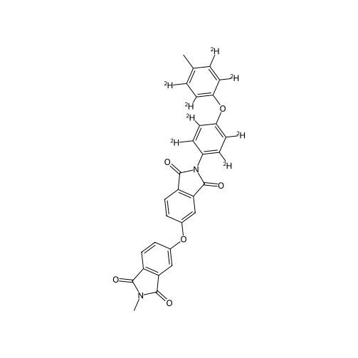 [2H]c1c([2H])c(Oc2c([2H])c([2H])c(N3C(=O)c4ccc(Oc5ccc6c(c5)C(=O)N(C)C6=O)cc4C3=O)c([2H])c2[2H])c([2H])c([2H])c1C